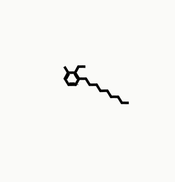 CCCCCCCCCc1[c]ccc(C)c1CC